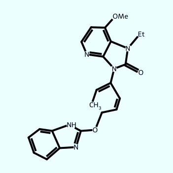 C/C=C(\C=C/COc1nc2ccccc2[nH]1)n1c(=O)n(CC)c2c(OC)ccnc21